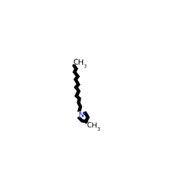 CCCCCCCCCCCCCCN1CCC(C)CC1